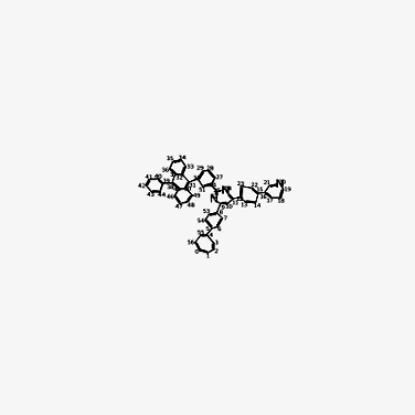 C1=CC=CC(c2ccc(-c3cc(-c4ccc(-c5cccnc5)cc4)nc(-c4cccc(-c5c6ccccc6c(-c6ccccc6)c6ccccc56)c4)n3)cc2)=CC=1